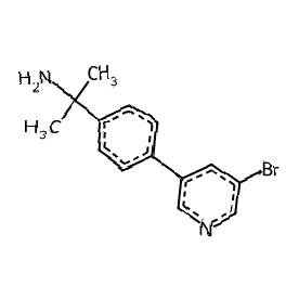 CC(C)(N)c1ccc(-c2cncc(Br)c2)cc1